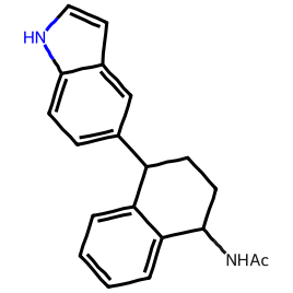 CC(=O)NC1CCC(c2ccc3[nH]ccc3c2)c2ccccc21